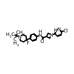 CC(C)(C)N1CCC(F)(c2ccc(NC(=O)C3CN(c4ccc(Cl)nn4)C3)cc2)CC1